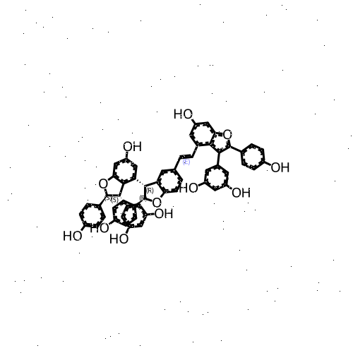 Oc1ccc(-c2oc3cc(O)cc(/C=C/c4ccc5c(c4)[C@@H](c4cc(O)cc6c4[C@H](c4cc(O)cc(O)c4)[C@@H](c4ccc(O)cc4)O6)[C@H](c4ccc(O)cc4)O5)c3c2-c2cc(O)cc(O)c2)cc1